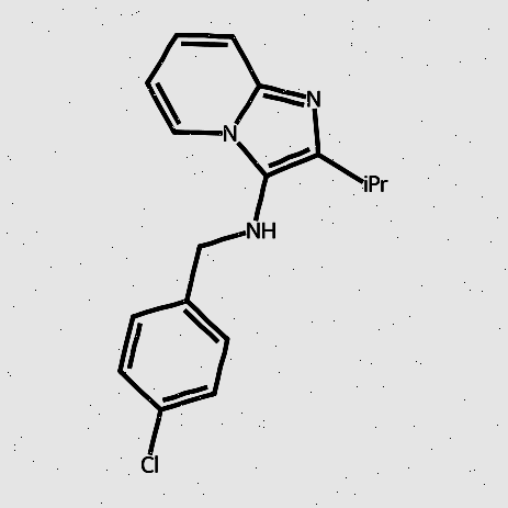 CC(C)c1nc2ccccn2c1NCc1ccc(Cl)cc1